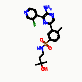 Cc1ccc(S(=O)(=O)NCCC(C)(C)O)cc1-c1cnc(N)c(-c2ccncc2F)n1